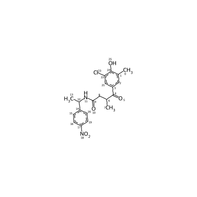 Cc1cc(C(=O)C(C)CC(=O)NC(C)c2ccc([N+](=O)[O-])cc2)cc(Cl)c1O